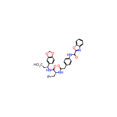 CC(C)C[C@H](NC(=O)Cc1ccc(NC(=O)c2nc3ccccc3o2)cc1)C(=O)N[C@@H](CC(=O)O)c1ccc2c(c1)OCO2